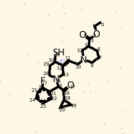 CCOC(=O)C1CCCN(C/C=C2\CN(C(C(=O)C3CC3)c3ccccc3F)CCC2S)C1